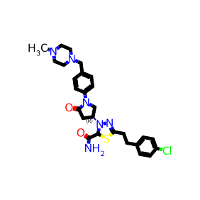 CN1CCN(Cc2ccc(N3C[C@H](N4N=C(CCc5ccc(Cl)cc5)SC4C(N)=O)CC3=O)cc2)CC1